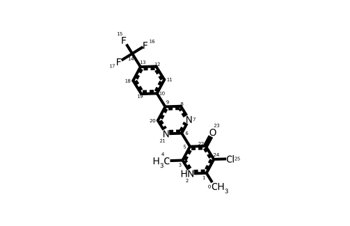 Cc1[nH]c(C)c(-c2ncc(-c3ccc(C(F)(F)F)cc3)cn2)c(=O)c1Cl